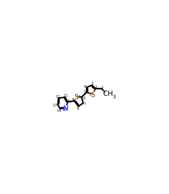 CCc1ccc(C2CC=C(c3ccccn3)S2)s1